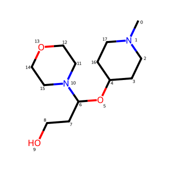 CN1CCC(OC(CCO)N2CCOCC2)CC1